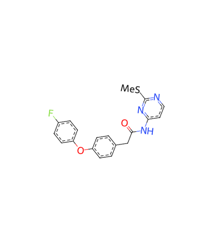 CSc1nccc(NC(=O)Cc2ccc(Oc3ccc(F)cc3)cc2)n1